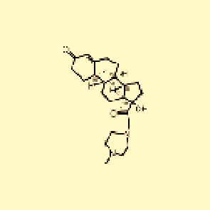 CN1CCN(CC(=O)[C@@]2(O)CC[C@H]3[C@@H]4CCC5=CC(=O)CC[C@]5(C)[C@H]4CC[C@@]32C)CC1